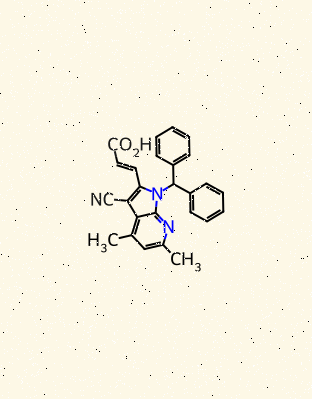 Cc1cc(C)c2c(C#N)c(C=CC(=O)O)n(C(c3ccccc3)c3ccccc3)c2n1